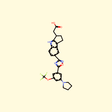 O=C(O)CC1CCc2c1[nH]c1ccc(-c3noc(-c4cc(OC(F)(F)F)cc(N5CCCC5)c4)n3)cc21